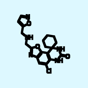 O=C1Nc2c(Cl)cc3nc(CNCc4ccno4)oc3c2C2(CCCCC2)N1